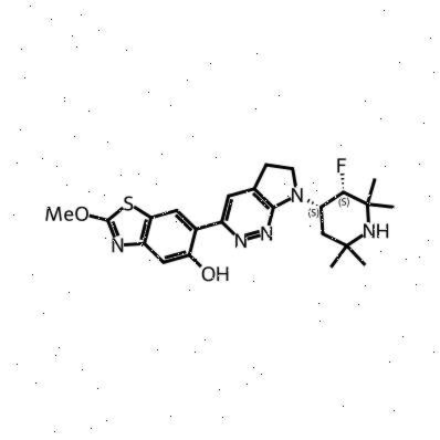 COc1nc2cc(O)c(-c3cc4c(nn3)N([C@H]3CC(C)(C)NC(C)(C)[C@H]3F)CC4)cc2s1